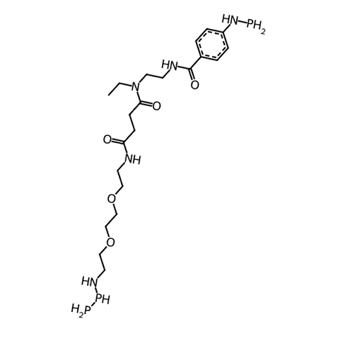 CCN(CCNC(=O)c1ccc(NP)cc1)C(=O)CCC(=O)NCCOCCOCCNPP